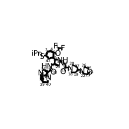 CC(C)Sc1ccc(OC(F)F)c(C2NN(CC(=O)N3CCC(N4CCOCC4)CC3)C=C2NC(=O)c2cnn3cccnc23)c1